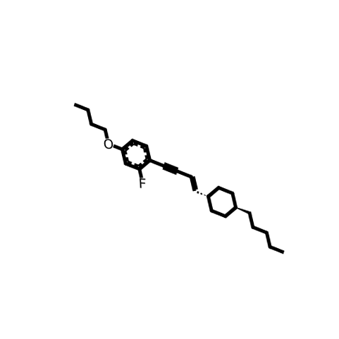 CCCCC[C@H]1CC[C@H](/C=C/C#Cc2ccc(OCCCC)cc2F)CC1